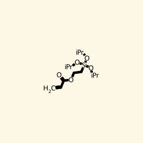 C=CC(=O)OCC[Si](OC(C)C)(OC(C)C)OC(C)C